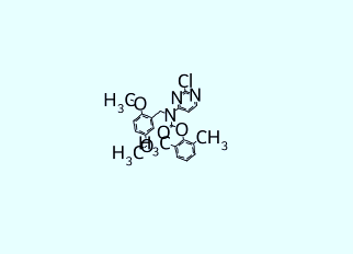 COc1ccc(OC)c(CN(C(=O)Oc2c(C)cccc2C)c2ccnc(Cl)n2)c1